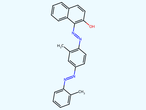 Cc1ccccc1N=Nc1ccc(N=Nc2c(O)ccc3ccccc23)c(C)c1